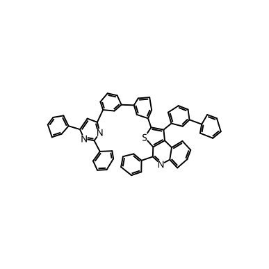 c1ccc(-c2cccc(-c3c(-c4cccc(-c5cccc(-c6cc(-c7ccccc7)nc(-c7ccccc7)n6)c5)c4)sc4c(-c5ccccc5)nc5ccccc5c34)c2)cc1